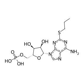 CCCSc1nc(N)c2ncn([C@@H]3O[C@H](COP(=O)(O)O)[C@@H](O)[C@H]3O)c2n1